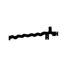 S=C(S)NCCCCCCCCCCCI